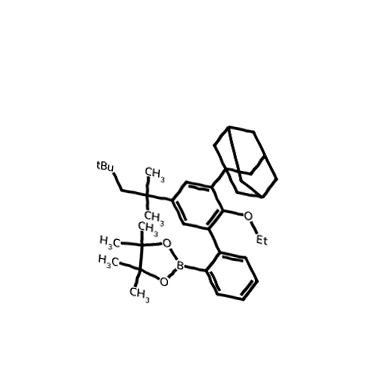 CCOc1c(-c2ccccc2B2OC(C)(C)C(C)(C)O2)cc(C(C)(C)CC(C)(C)C)cc1C12CC3CC(CC(C3)C1)C2